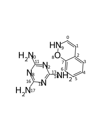 C1=Cc2ccccc2ON1.Nc1nc(N)nc(N)n1